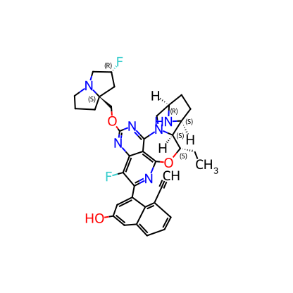 C#Cc1cccc2cc(O)cc(-c3nc4c5c(nc(OC[C@@]67CCCN6C[C@H](F)C7)nc5c3F)N3C[C@H]5CC[C@H](N5)[C@H]3[C@H](CC)O4)c12